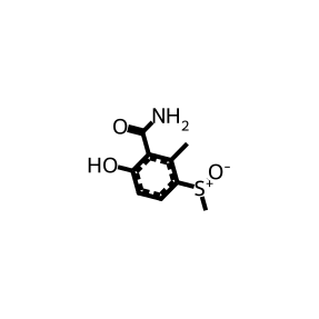 Cc1c([S+](C)[O-])ccc(O)c1C(N)=O